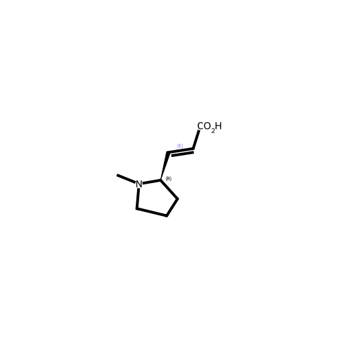 CN1CCC[C@@H]1/C=C/C(=O)O